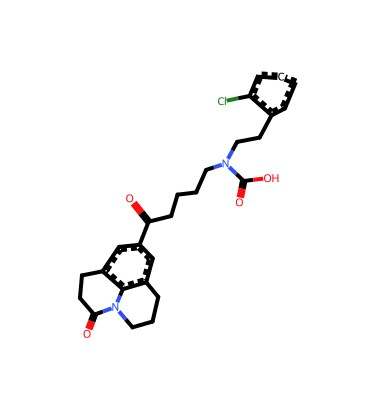 O=C(CCCCN(CCc1ccccc1Cl)C(=O)O)c1cc2c3c(c1)CCC(=O)N3CCC2